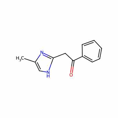 Cc1c[nH]c(CC(=O)c2ccccc2)n1